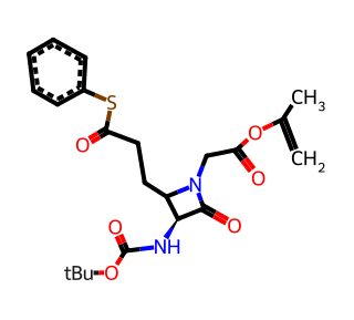 C=C(C)OC(=O)CN1C(=O)[C@@H](NC(=O)OC(C)(C)C)C1CCC(=O)Sc1ccccc1